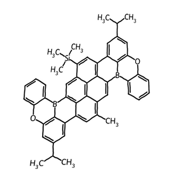 Cc1cc2c3c(cc4c([Si](C)(C)C)cc5c6c(cc1c3c46)B1c3ccccc3Oc3cc(C(C)C)cc-5c31)B1c3ccccc3Oc3cc(C(C)C)cc-2c31